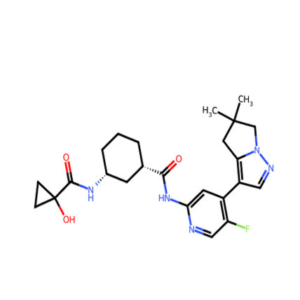 CC1(C)Cc2c(-c3cc(NC(=O)[C@H]4CCC[C@@H](NC(=O)C5(O)CC5)C4)ncc3F)cnn2C1